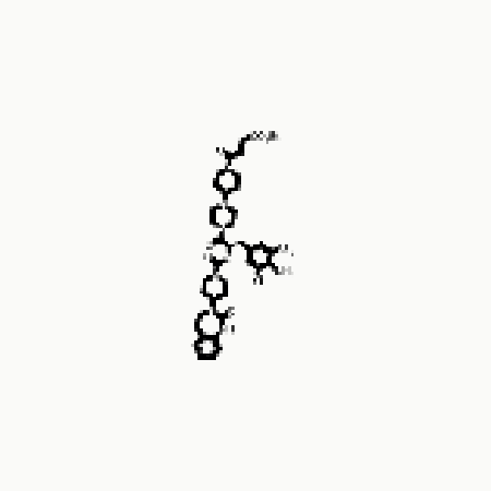 CCOC(=O)CCC(=O)N1CCC(N2CCN(C(=O)[C@@H](Cc3cc(Cl)c(N)c(C(F)(F)F)c3)OC(=O)N3CCC(N4CCc5ccccc5NC4=O)CC3)CC2)CC1